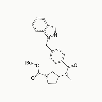 CN(C(=O)c1ccc(Cn2ncc3ccccc32)cc1)C1CCN(C(=O)OC(C)(C)C)C1